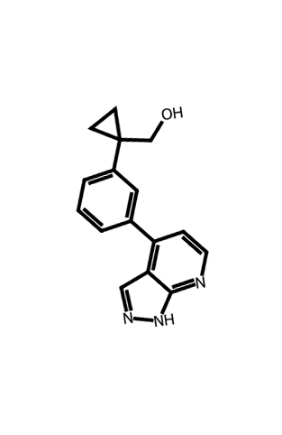 OCC1(c2cccc(-c3ccnc4[nH]ncc34)c2)CC1